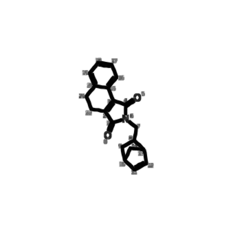 O=C1C2=C(C(=O)N1CC1CC3C=CC1C3)c1ccccc1CC2